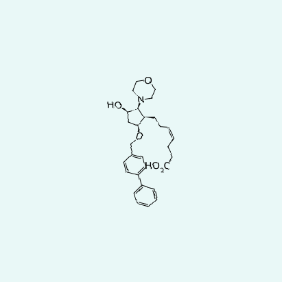 O=C(O)CC/C=C\CC[C@@H]1[C@H](N2CCOCC2)[C@H](O)C[C@@H]1OCc1ccc(-c2ccccc2)cc1